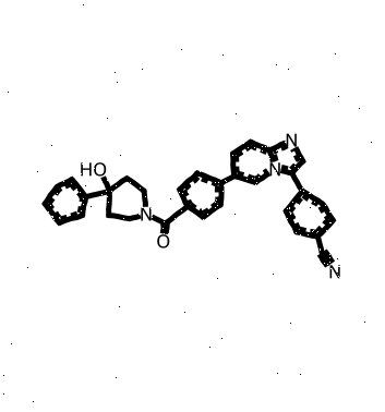 N#Cc1ccc(-c2cnc3ccc(-c4ccc(C(=O)N5CCC(O)(c6ccccc6)CC5)cc4)cn23)cc1